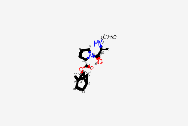 C[C@H](NC=O)C(=O)N1CCC[C@H]1C(=O)OC1CC2CCC1(C)C2(C)C